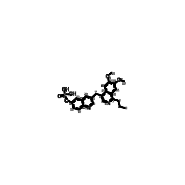 CCCc1ncc(Cc2cnc3ccc(OP(=O)(O)O)cc3c2)c2cc(OC)c(OC)cc12